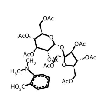 CC(=O)OC[C@H]1O[C@@](COC(C)=O)(O[C@H]2O[C@H](COC(C)=O)[C@@H](OC(C)=O)[C@H](OC(C)=O)[C@H]2OC(C)=O)[C@@H](OC(C)=O)[C@@H]1OC(C)=O.CN(C)c1ccccc1C(=O)O